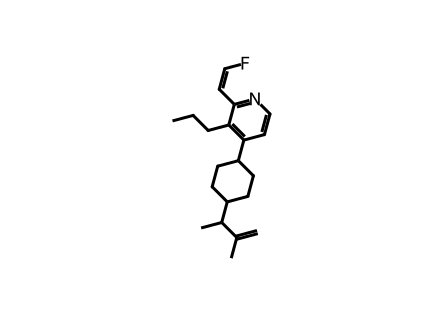 C=C(C)C(C)C1CCC(c2ccnc(/C=C\F)c2CCC)CC1